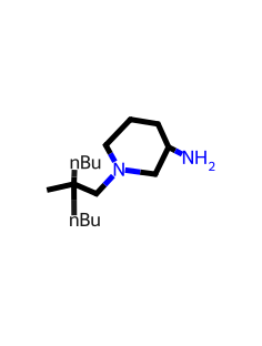 CCCCC(C)(CCCC)CN1CCCC(N)C1